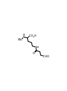 CC(C)(C)NC(CCCNC(=O)CCC=O)C(=O)O